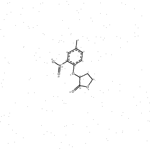 Cc1ccc(OC2CCOC2=O)c([N+](=O)[O-])c1